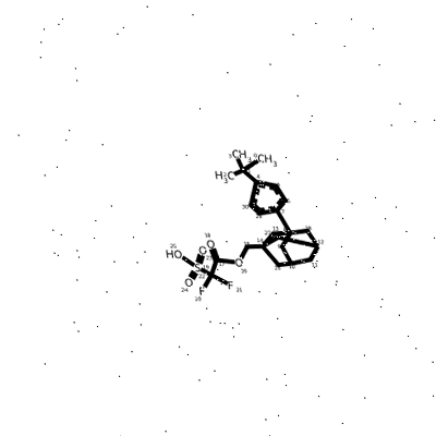 CC(C)(C)c1ccc(C23CC4CC(CC(COC(=O)C(F)(F)S(=O)(=O)O)(C4)C2)C3)cc1